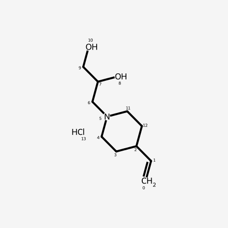 C=CC1CCN(CC(O)CO)CC1.Cl